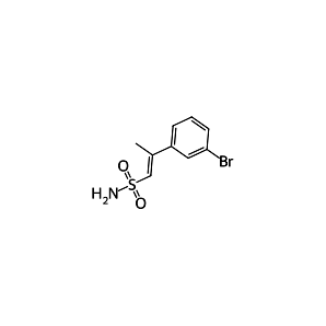 CC(=CS(N)(=O)=O)c1cccc(Br)c1